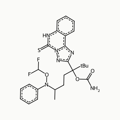 CC(CCC(OC(N)=O)(c1nc2c3ccccc3[nH]c(=S)n2n1)C(C)(C)C)N(OC(F)F)c1ccccc1